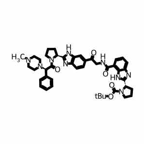 CN1CCN([C@@H](C(=O)N2CCC[C@H]2c2nc3ccc(C(=O)CNC(=O)c4cccc5nc([C@@H]6CCCN6C(=O)OC(C)(C)C)[nH]c45)cc3[nH]2)c2ccccc2)CC1